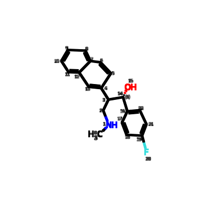 CNCC(c1ccc2ccccc2c1)[C@H](O)c1ccc(F)cc1